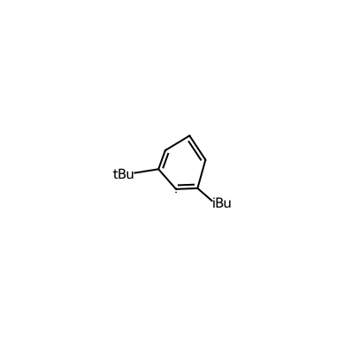 CCC(C)c1[c]c(C(C)(C)C)ccc1